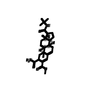 COC(=O)C1=CC2=CC[C@@H]3[C@@H](CC[C@]4(C)C(C(=O)NC(C)(C)C)CC[C@@H]34)[C@@]2(C)CC1C(N)=O